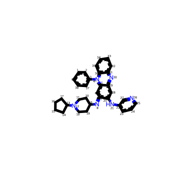 c1ccc(-n2c3c/c(=N\C4CCN(C5CCCC5)CC4)c(Nc4cccnc4)cc-3nc3ccccc32)cc1